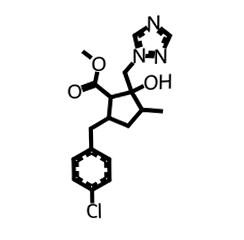 COC(=O)C1C(Cc2ccc(Cl)cc2)CC(C)C1(O)Cn1cncn1